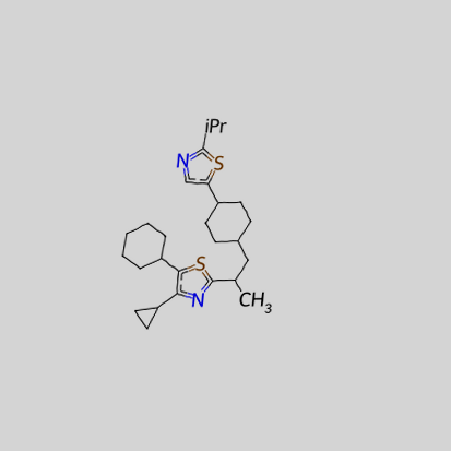 CC(C)c1ncc(C2CCC(CC(C)c3nc(C4CC4)c(C4CCCCC4)s3)CC2)s1